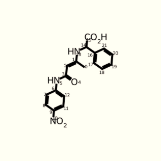 C/C(=C\C(=O)Nc1ccc([N+](=O)[O-])cc1)NC(C(=O)O)c1ccccc1